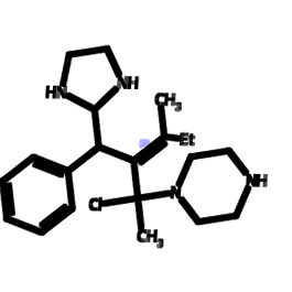 CC/C(C)=C(/C(c1ccccc1)C1NCCN1)C(C)(Cl)N1CCNCC1